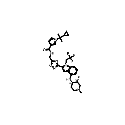 CN1CC[C@@H](Nc2cccc3c2cc(-c2noc(CNC(=O)c4ccn(C(C)(C)C5CC5)c4)n2)n3CC(F)(F)F)[C@@H](F)C1